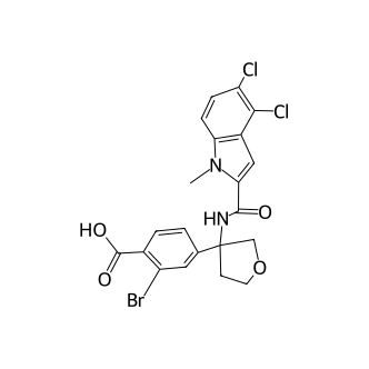 Cn1c(C(=O)NC2(c3ccc(C(=O)O)c(Br)c3)CCOC2)cc2c(Cl)c(Cl)ccc21